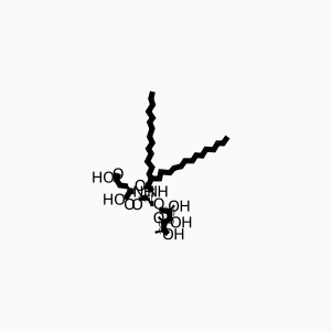 CCCCCCCCCCCCCCC(CCCCCCCCCCCCCC)C(=O)N[C@@H](CO[C@@H]1O[C@H]([C@H](C)O)[C@@H](O)[C@@H]1O)C(=O)N[C@H](CCC(=O)O)C(=O)O